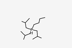 CCCC[PH](CC(C)C)(CC(C)C)CC(C)C